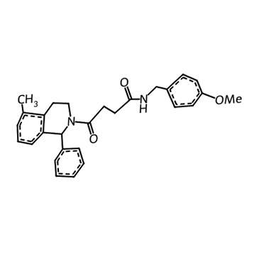 COc1ccc(CNC(=O)CCC(=O)N2CCc3c(C)cccc3C2c2ccccc2)cc1